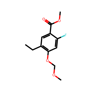 CCc1cc(C(=O)OC)c(F)cc1OCOC